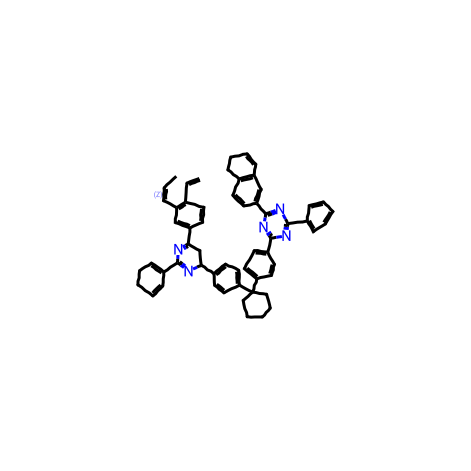 C=Cc1ccc(C2=NC(C3=CCCC=C3)=NC(c3ccc(C4(c5ccc(-c6nc(-c7ccccc7)nc(-c7ccc8c(c7)C=CCC8)n6)cc5)CCCCC4)cc3)C2)cc1/C=C\C